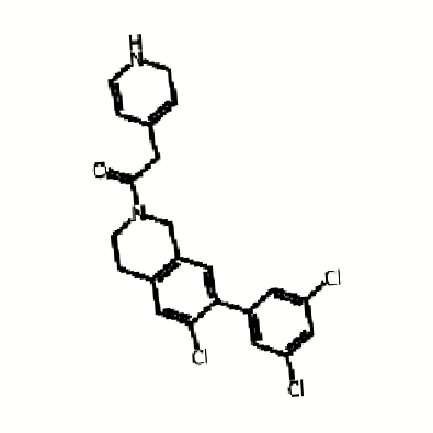 O=C(CC1=CCNC=C1)N1CCc2cc(Cl)c(-c3cc(Cl)cc(Cl)c3)cc2C1